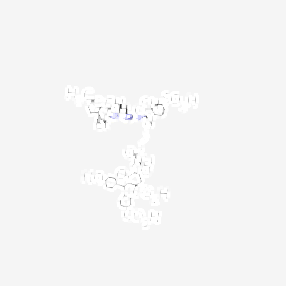 CC[N+]1=C(/C=C/C=C/C=C2/N(CCCCCC(=O)NCc3c4oc5cc(O)ccc5c(-c5ccc(C(=O)O)cc5C(=O)O)c-4ccc3=O)c3ccc(S(=O)(=O)O)cc3C2(C)C)C(C)(C)c2cc(C)ccc21